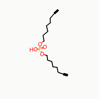 C#CCCCCCCOP(=O)(O)OCCCCCCC#C